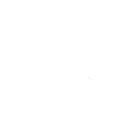 COC(=O)c1ccc(C2CCCCN2C(=O)OC(C)(C)C)cc1